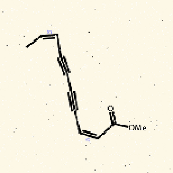 C/C=C\C#CC#C/C=C\C(=O)OC